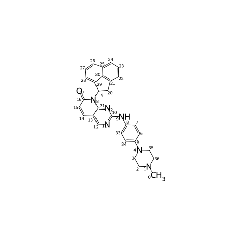 CN1CCN(c2ccc(Nc3ncc4ccc(=O)n(C5Cc6cccc7cccc5c67)c4n3)cc2)CC1